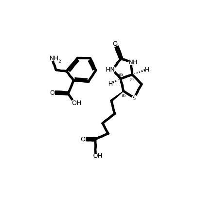 NCc1ccccc1C(=O)O.O=C(O)CCCC[C@@H]1SC[C@@H]2NC(=O)N[C@@H]21